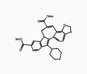 COC(=O)C1=Cc2c(ccc3c2OCO3)-c2c(C3CCCCC3)c3ccc(C(=O)OC)cc3n2C1